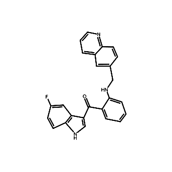 O=C(c1ccccc1NCc1ccc2ncccc2c1)c1c[nH]c2ccc(F)cc12